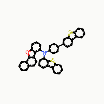 c1ccc2c(c1)ccc1c2oc2cccc(N(c3ccc(-c4ccc5c(c4)sc4ccccc45)cc3)c3cccc4c3sc3ccccc34)c21